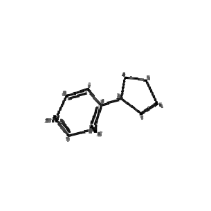 c1cc(C2CCCC2)ncn1